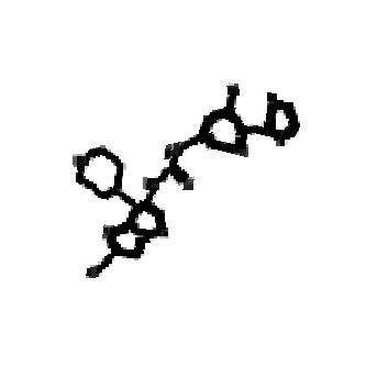 O=C(Nc1cnc(-n2nccn2)c(Cl)c1)Nc1cnn2cc(Cl)nc2c1N1CCNCC1